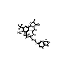 CC1SC(c2cc(C(C)(C)C)c(O)c(C(C)(C)C)c2)N(CCCN(C)CCOc2ccc3c(c2)OOC3)C1=O